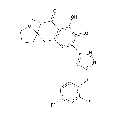 CC1(C)C(=O)c2c(O)c(=O)c(-c3nnc(Cc4ccc(F)cc4F)s3)cn2CC12CCCO2